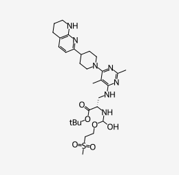 Cc1nc(NC[C@H](NC(O)OCCS(C)(=O)=O)C(=O)OC(C)(C)C)c(C)c(N2CCC(c3ccc4c(n3)NCCC4)CC2)n1